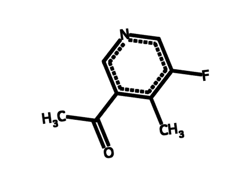 CC(=O)c1cncc(F)c1C